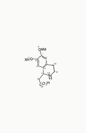 COc1cc2c(cc1OC)C(CC(=O)O)NCC2